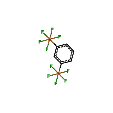 FS(F)(F)(F)(F)c1cccc(S(F)(F)(F)(F)F)c1